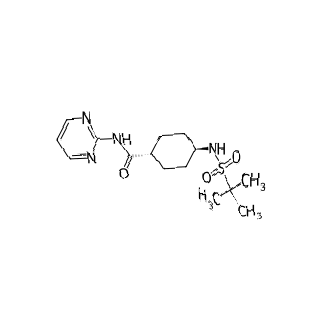 CC(C)(C)S(=O)(=O)N[C@H]1CC[C@H](C(=O)Nc2ncccn2)CC1